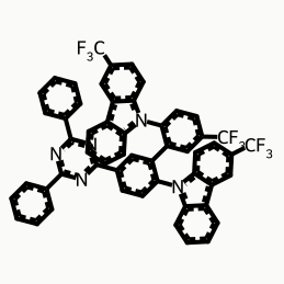 FC(F)(F)c1ccc(-n2c3ccccc3c3cc(C(F)(F)F)ccc32)c(-c2cc(-c3nc(-c4ccccc4)nc(-c4ccccc4)n3)ccc2-n2c3ccccc3c3cc(C(F)(F)F)ccc32)c1